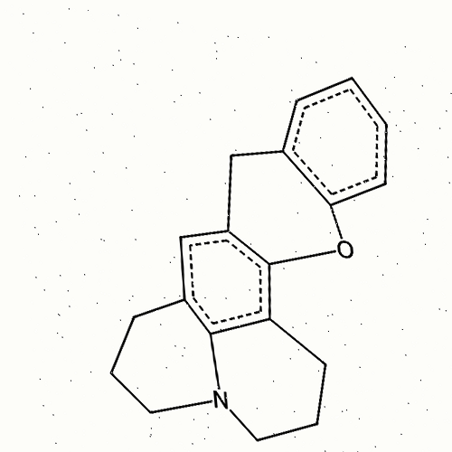 c1ccc2c(c1)Cc1cc3c4c(c1O2)CCCN4CCC3